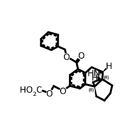 O=C(O)OCOc1cc(C(=O)OCc2ccccc2)c2c(c1)[C@@]13CCCC[C@H]1[C@@H](C2)NCC3